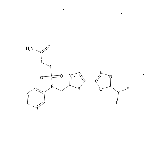 NC(=O)CCS(=O)(=O)N(Cc1ncc(-c2nnc(C(F)F)o2)s1)c1cccnc1